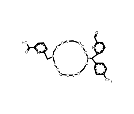 Cc1ccc(C(c2cccc(C=O)n2)N2CCOCCOCCN(Cc3cccc(C(=O)O)n3)CCOCCOCC2)cc1